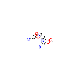 CCOC(=O)Cc1c(C)c(Cc2cccn2S(=O)(=O)c2ccc(C#N)cc2)n2cc(C#N)ccc12